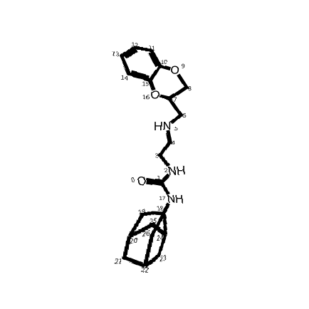 O=C(NCCNCC1COc2ccccc2O1)NC12CC3CC(CC1C3)C2